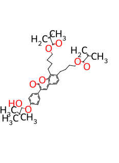 C=C(C)C(=O)OCCCCc1ccc2cc(-c3ccc(OC(O)C(C)(C)C)cc3)c(=O)oc2c1CCCCOC(=O)C(=C)C